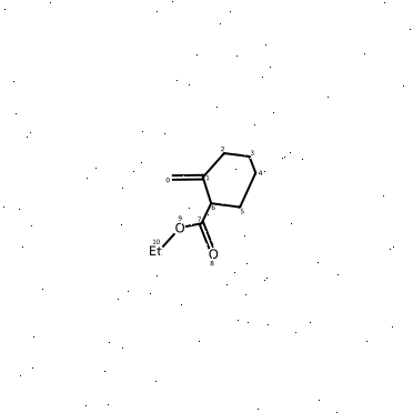 C=C1CCCCC1C(=O)OCC